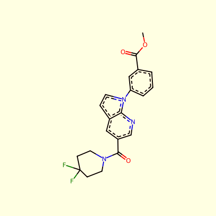 COC(=O)c1cccc(-n2ccc3cc(C(=O)N4CCC(F)(F)CC4)cnc32)c1